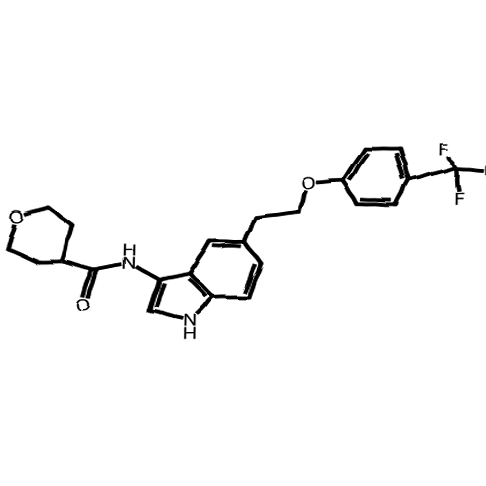 O=C(Nc1c[nH]c2ccc(CCOc3ccc(C(F)(F)F)cc3)cc12)C1CCOCC1